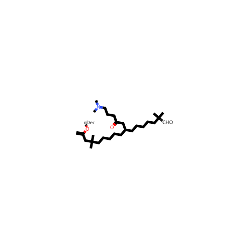 C=C(CC(C)(C)CCCCCC(CCCCCC(C)(C)C=O)CC(=O)CCCN(C)C)OCCCCCCCCCC